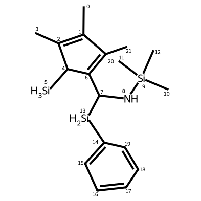 CC1=C(C)C([SiH3])C(C(N[Si](C)(C)C)[SiH2]c2ccccc2)=C1C